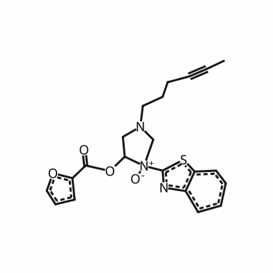 CC#CCCCN1CC(OC(=O)c2ccco2)[N+]([O-])(c2nc3ccccc3s2)C1